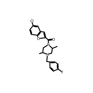 CC1CN(C(=O)c2cc3cc(Cl)ccc3o2)C(C)CN1Cc1ccc(F)cc1